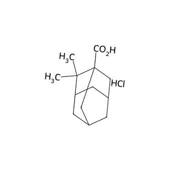 CC1(C)C2CC3CC(C2)CC1(C(=O)O)C3.Cl